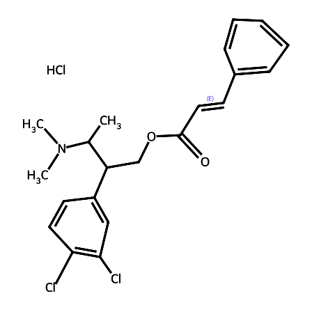 CC(C(COC(=O)/C=C/c1ccccc1)c1ccc(Cl)c(Cl)c1)N(C)C.Cl